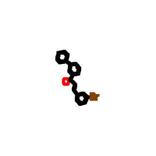 O=C(/C=C/c1cccc(Br)c1)c1cccc(-c2ccccc2)c1